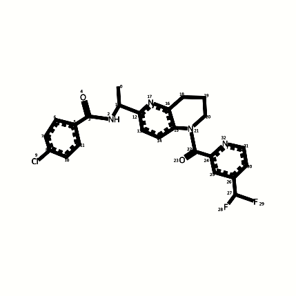 CC(NC(=O)c1ccc(Cl)cc1)c1ccc2c(n1)CCCN2C(=O)c1cc(C(F)F)ccn1